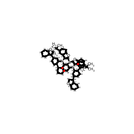 CC(C)(C)c1ccc2oc3c(c2c1)N(c1cc(-c2coc4ccccc24)ccc1-c1ccccc1)c1cccc2c1B3c1oc3ccc(C(C)(C)C)cc3c1N2c1cc(-c2coc3ccccc23)ccc1-c1ccccc1